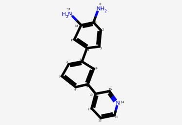 Nc1ccc(-c2cccc(-c3cccnc3)c2)cc1N